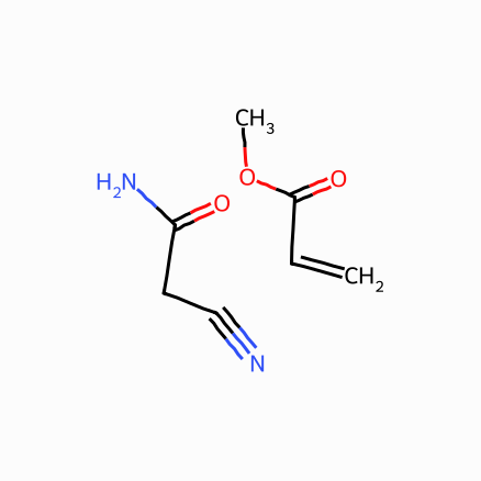 C=CC(=O)OC.N#CCC(N)=O